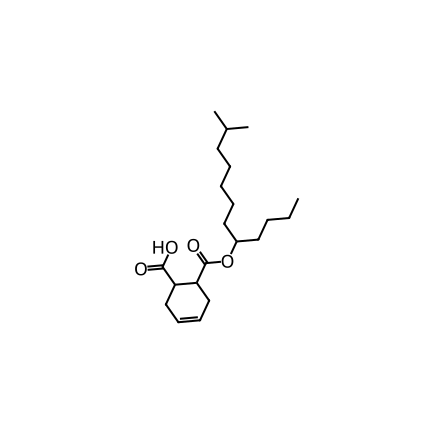 CCCCC(CCCCCC(C)C)OC(=O)C1CC=CCC1C(=O)O